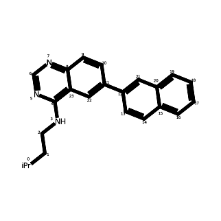 CC(C)CCNc1ncnc2ccc(-c3ccc4ccccc4c3)cc12